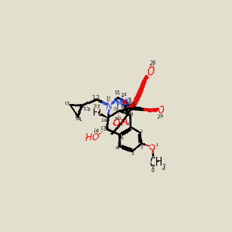 COc1ccc2c(c1)[C@@]13CCN(CC4CC4)[C@@H]([C@H]2O)[C@@]1(O)CCCNC(=O)NC(=O)C3